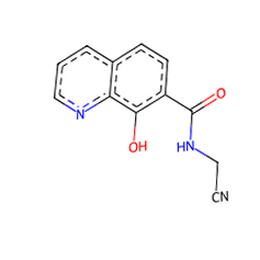 N#CCNC(=O)c1ccc2cccnc2c1O